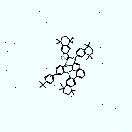 Cc1cc2c3c(c1)N(c1ccc4c(c1)C(C)(C)CCC4(C)C)c1c(oc4cc5c(cc14)C(C)(C)CCC5(C)C)B3c1ccc(-c3ccc(C(C)(C)C)cc3)cc1N2c1cc2c(cc1-c1ccccc1)C(C)(C)CCC2(C)C